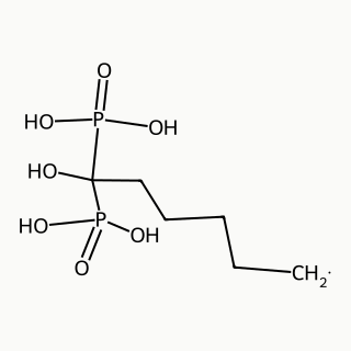 [CH2]CCCCC(O)(P(=O)(O)O)P(=O)(O)O